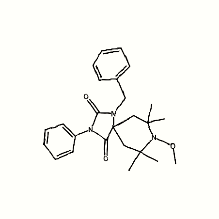 CON1C(C)(C)CC2(CC1(C)C)C(=O)N(c1ccccc1)C(=O)N2Cc1ccccc1